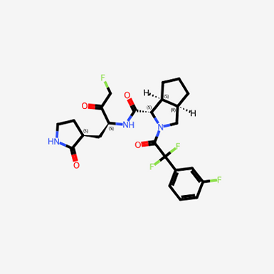 O=C1NCC[C@H]1C[C@H](NC(=O)[C@@H]1[C@H]2CCC[C@H]2CN1C(=O)C(F)(F)c1cccc(F)c1)C(=O)CF